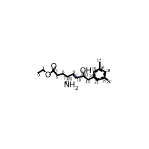 CCOC(=O)CC[C@@H](N)/C=C/[C@@H](O)Cc1cc(C)cc(C)c1